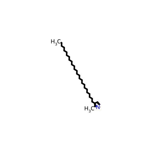 CCCCCCCCCCCCCCCCCCCCCCCCCCCC1=C(C)[N]C=C1